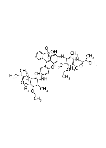 CCOc1c(C)c(/N=c2/ccc3c(-c4ccccc4S(=O)(=O)O)c4ccc(Nc5c(C)c(NC(=O)C(C)C)c(C)c(OCC)c5C)cc4oc-3c2)c(C)c(NC(=O)C(C)C)c1C